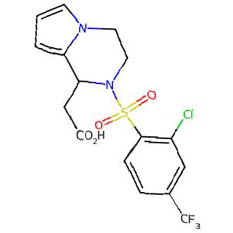 O=C(O)CC1c2cccn2CCN1S(=O)(=O)c1ccc(C(F)(F)F)cc1Cl